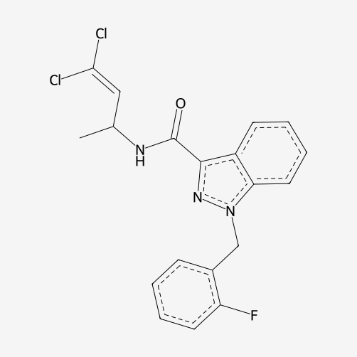 CC(C=C(Cl)Cl)NC(=O)c1nn(Cc2ccccc2F)c2ccccc12